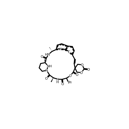 CC(C)C1OC(=O)C2(/C=C/c3ccc4ccc(nc4c3)[C@@H](C)NC(=O)[C@@H]3CCCN(N3)C(=O)[C@H](C)NC1=O)COC(=O)OC2